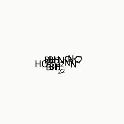 BC(B)(O)C(B)(B)C1CCN(c2ccn3c(n2)nc2ccccc23)CC1